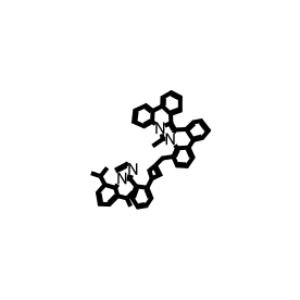 CC(C)C1=CC=CC(C(C)C)C1n1ccnc1-c1ccccc1C1C=C(Cc2cccc3c2N2C(=C4c5ccccc5-c5ccccc5N4C2C)c2ccccc2-3)C1